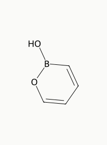 OB1C=CC=CO1